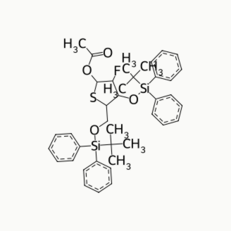 CC(=O)OC1SC(CO[Si](c2ccccc2)(c2ccccc2)C(C)(C)C)C(O[Si](c2ccccc2)(c2ccccc2)C(C)(C)C)C1F